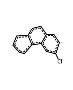 Clc1[c]cc2ccc3c[c]ccc3c2c1